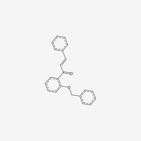 O=C(C=Cc1ccccc1)c1ccccc1OCc1ccccc1